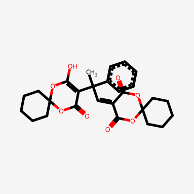 CC(C=C1C(=O)OC2(CCCCC2)OC1=O)(C1=C(O)OC2(CCCCC2)OC1=O)c1ccccc1